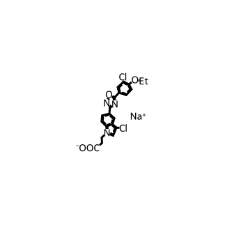 CCOc1ccc(-c2nc(-c3ccc4c(c3)c(Cl)cn4CCC(=O)[O-])no2)cc1Cl.[Na+]